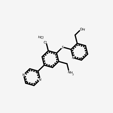 Cl.NCc1cc(-c2cnccn2)cc(Cl)c1Sc1ncccc1CO